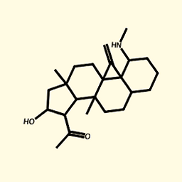 C=C1C23C(CCCC2NC)CCC2(C)C4C(C(C)=O)C(O)CC4(C)CCC123